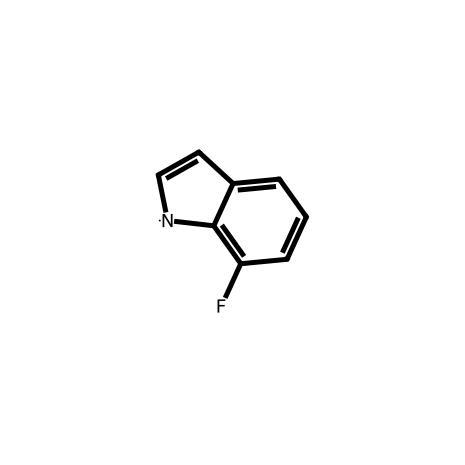 Fc1cccc2c1[N]C=C2